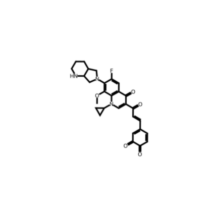 COc1c(N2CC3CCCNC3C2)c(F)cc2c(=O)c(C(=O)/C=C/C3=CC(=O)C(=O)C=C3)cn(C3CC3)c12